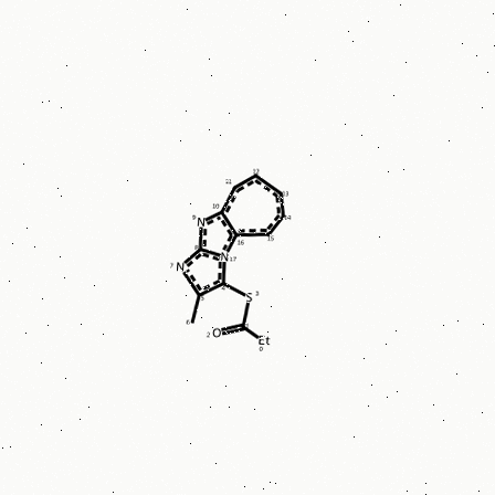 CCC(=O)Sc1c(C)nc2nc3cccccc3n12